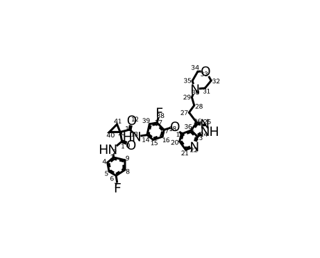 O=C(Nc1ccc(F)cc1)C1(C(=O)Nc2ccc(Oc3ccnc4[nH]nc(CCCN5CCOCC5)c34)c(F)c2)CC1